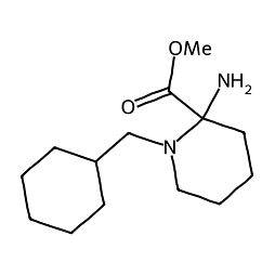 COC(=O)C1(N)CCCCN1CC1CCCCC1